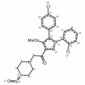 COc1c(C(=O)CN2CCS(=S=O)CC2)nn(-c2ccccc2Cl)c1-c1ccc(Cl)cc1